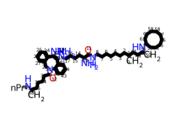 C=C(CCCCCCCNC(=O)C(N)CCCCN(N)/C1=C(\N)c2ccccc2CN(C(=O)CCCCC(=C)NCCC)c2ccccc21)CCC(=C)NC1CCCCCCCCC1